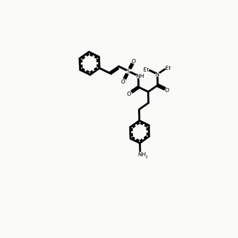 CCN(CC)C(=O)C(CCc1ccc(N)cc1)C(=O)NS(=O)(=O)C=Cc1ccccc1